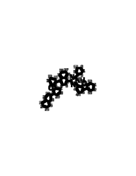 c1ccc(C2=NC(c3ccc(-c4cccc5oc6c(-c7ccc8ccccc8c7)cccc6c45)c4ccccc34)=NC(c3cccc4c3oc3ccccc34)N2)cc1